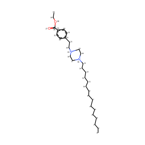 CCCCCCCCCCCCCCCCN1CCN(CCc2ccc(C(=O)OCC)cc2)CC1